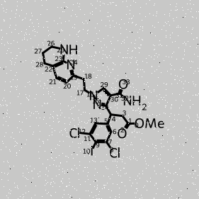 COC(=O)CC(c1cc(Cl)c(I)c(Cl)c1)c1nn(CCc2ccc3c(n2)NCCC3)cc1C(N)=O